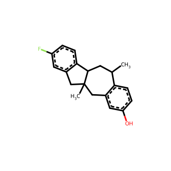 CC1CC2c3ccc(F)cc3CC2(C)Cc2cc(O)ccc21